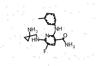 Cc1cccc(Nc2nc(NCC3(N)CC3)c(F)cc2C(N)=O)c1